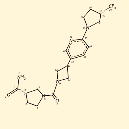 NC(=O)[C@H]1CCN(C(=O)N2CC(c3ccc(N4CC[C@H](C(F)(F)F)C4)nc3)C2)C1